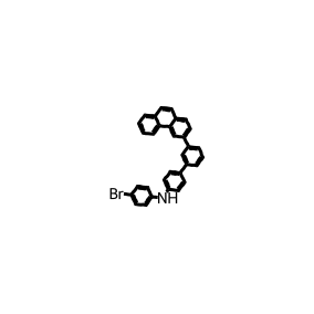 Brc1ccc(Nc2ccc(-c3cccc(-c4ccc5ccc6ccccc6c5c4)c3)cc2)cc1